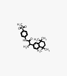 CC1(C)CCC(C)(C)c2cc(C(N)C(=O)Nc3ccc(S(C)(=O)=O)cc3)ccc21